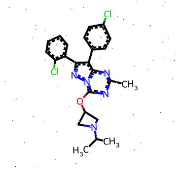 Cc1nc(OC2CN(C(C)C)C2)n2nc(-c3ccccc3Cl)c(-c3ccc(Cl)cc3)c2n1